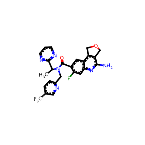 CC(c1ncccn1)N(Cc1ccc(C(F)(F)F)cn1)C(=O)c1cc2c3c(c(N)nc2cc1F)COC3